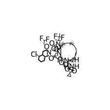 C[C@@H]1CCC=C[C@@H]2C[C@@]2(C(=O)NS(=O)(=O)C2CC2)NC(=O)[C@@H]2C[C@@H](Oc3nc(OCC(F)F)cc4c(Cl)cccc34)CN2C(=O)[C@@H](N(C(=O)O)C(C)(C)C(C)(F)F)[C@H](C)C1